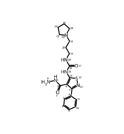 NNC(=O)c1c(-c2ccccc2)nsc1NC(=O)NCCCN1CCCC1